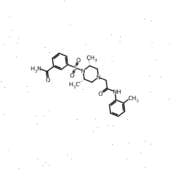 Cc1ccccc1NC(=O)CN1C[C@@H](C)N(S(=O)(=O)c2cccc(C(N)=O)c2)[C@@H](C)C1